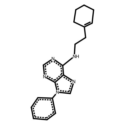 C1=C(CCNc2ncnc3c2ncn3-c2ccccc2)CCCC1